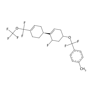 Cc1ccc(C(F)(F)OC2CC=C([C@@H]3CC=C(C(F)(F)OC(F)(F)F)CC3)C(F)C2)cc1